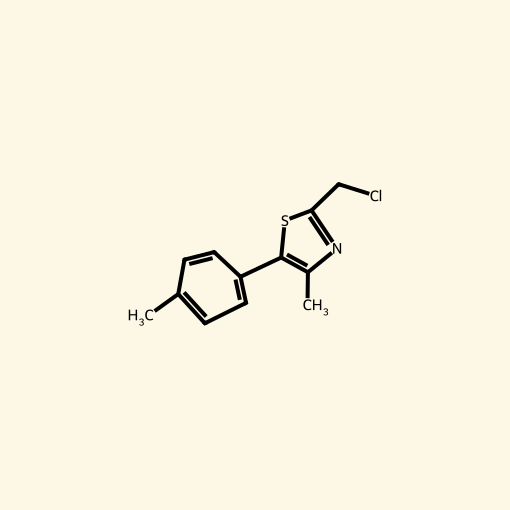 Cc1ccc(-c2sc(CCl)nc2C)cc1